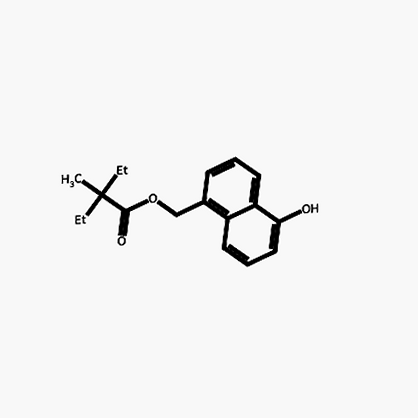 CCC(C)(CC)C(=O)OCc1cccc2c(O)cccc12